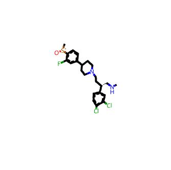 CNC[C@@H](CCN1CCC(c2ccc([S+](C)[O-])c(F)c2)CC1)c1ccc(Cl)c(Cl)c1